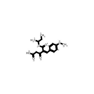 CCC(C)OC(=O)C(=Cc1ccc(OC)cc1)C(=O)CC(=O)O